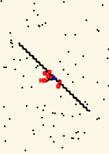 CCCCCCCCC=CCCCCCCCC(=O)OCCN(CCOC(=O)CCCCCCCC=CCCCCCCCC)CC(O)CO